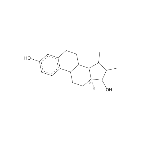 CC1C(C)C2C3CCc4cc(O)ccc4C3CC[C@]2(C)C1O